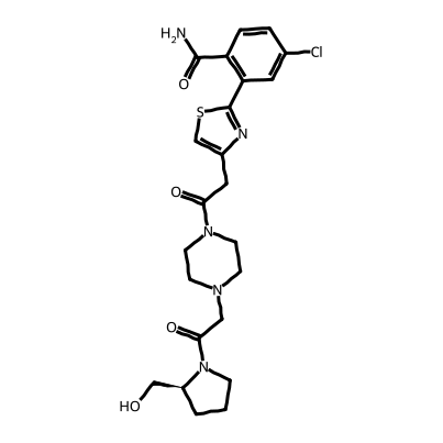 NC(=O)c1ccc(Cl)cc1-c1nc(CC(=O)N2CCN(CC(=O)N3CCC[C@H]3CO)CC2)cs1